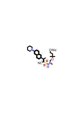 COCCC(C)(C)OCN(C)NS(=O)(=O)/C(C#N)=C(\C)c1ccc2cc(N3CCCCC3)ccc2c1